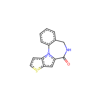 O=C1NCc2ccccc2-n2c1cc1sccc12